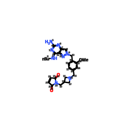 CCCCNc1nc(N)nc2cn(Cc3ccc(CN4CC(CN5C(=O)C=CC5=O)C4)cc3OC)nc12